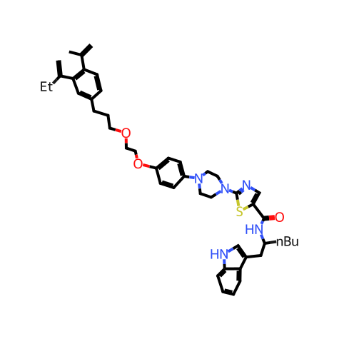 C=C(C)c1ccc(CCCOCCOc2ccc(N3CCN(c4ncc(C(=O)NC(CCCC)Cc5c[nH]c6ccccc56)s4)CC3)cc2)cc1C(=C)CC